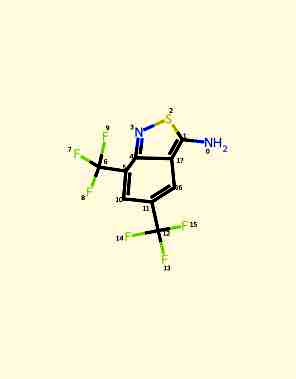 Nc1snc2c(C(F)(F)F)cc(C(F)(F)F)cc12